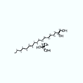 CCCCCCCCCCCCCCCCC(O)=CO.O=[PH](O)O